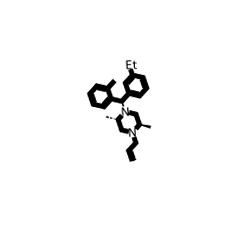 C=CCN1C[C@H](C)N([C@@H](c2cccc(CC)c2)c2ccccc2C)C[C@H]1C